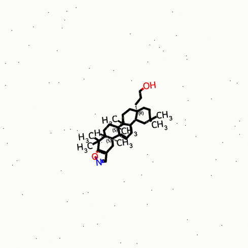 CC1(C)CC[C@]2(CCCO)CC[C@]3(C)C(CC=C4[C@@]5(C)Cc6cnoc6C(C)(C)[C@@H]5CC[C@]43C)C2C1